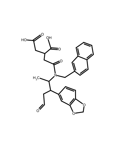 CC(C(CC=O)c1ccc2c(c1)OCO2)N(Cc1ccc2ccccc2c1)C(=O)CC(CC(=O)O)C(=O)O